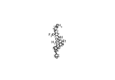 CCC1CN(C(=O)Nc2ccc(CN3CCN(C)CC3)c(C(F)(F)F)c2)C(C)c2cc(Oc3c(F)cnn4cc(C5=CCOCC5)cc34)cnc21